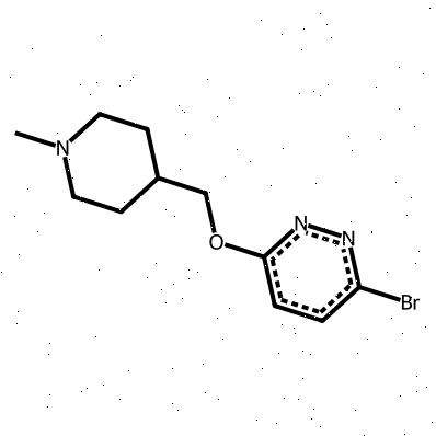 CN1CCC(COc2ccc(Br)nn2)CC1